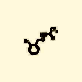 O=C(NOCc1ccccc1Br)C(F)(F)F